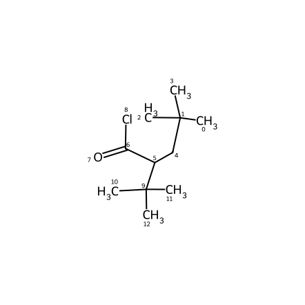 CC(C)(C)CC(C(=O)Cl)C(C)(C)C